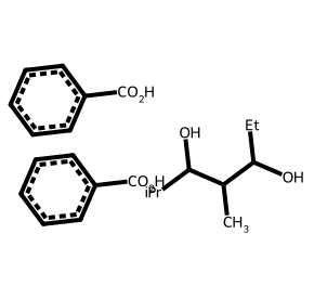 CCC(O)C(C)C(O)C(C)C.O=C(O)c1ccccc1.O=C(O)c1ccccc1